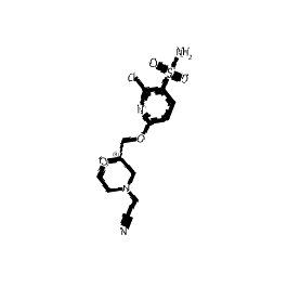 N#CCN1CCO[C@@H](COc2ccc(S(N)(=O)=O)c(Cl)n2)C1